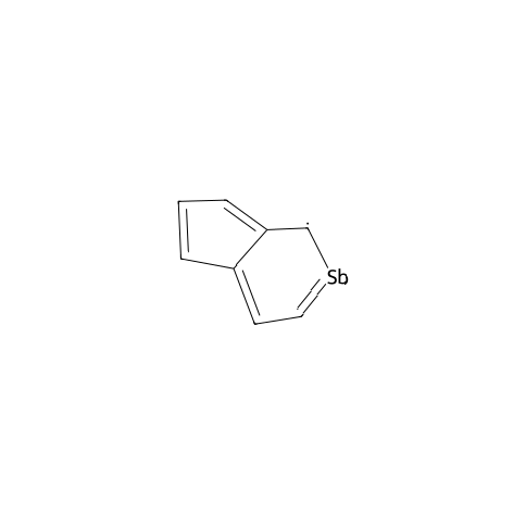 [CH]1[Sb]=[CH]C=C2C=CC=C12